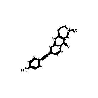 CCN1CCCc2nc3cc(C#Cc4ccc(C)cc4)ccn3c(=O)c2C1